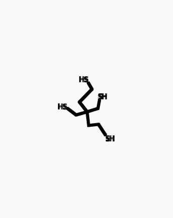 SCCC(CS)(CS)CCS